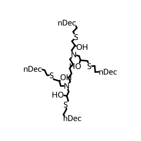 CCCCCCCCCCCCSCC(O)CN(CCCCCCN(CC(O)CSCCCCCCCCCCCC)CC(O)CSCCCCCCCCCCCC)CC(O)CSCCCCCCCCCCCC